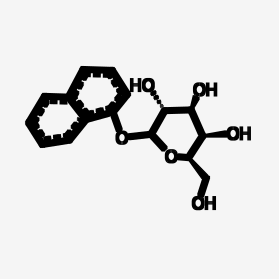 OC[C@H]1OC(Oc2cccc3ccccc23)[C@H](O)[C@@H](O)[C@H]1O